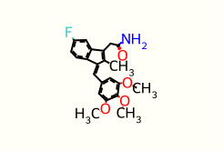 COc1cc(C=C2C(C)=C(CC(N)=O)c3cc(F)ccc32)cc(OC)c1OC